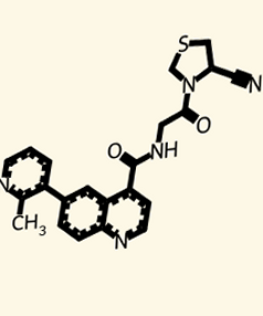 Cc1ncccc1-c1ccc2nccc(C(=O)NCC(=O)N3CSCC3C#N)c2c1